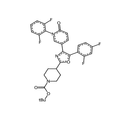 CC(C)(C)OC(=O)N1CCC(c2nc(-c3ccc(=O)n(-c4c(F)cccc4F)c3)c(-c3ccc(F)cc3F)o2)CC1